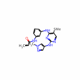 C=CC(=O)Nc1cccc(Nc2nc(Nc3cnn(C)c3)ncc2SC)c1